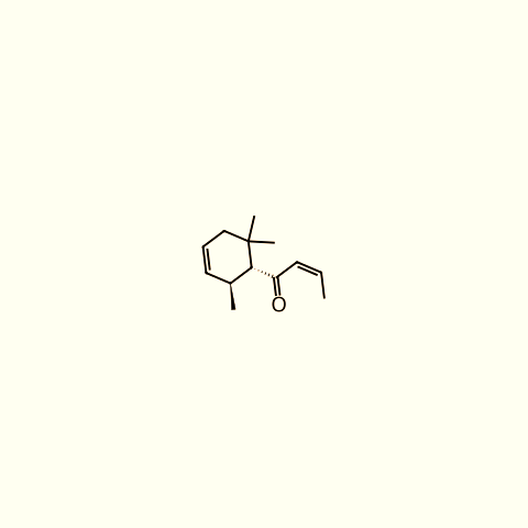 C/C=C\C(=O)[C@@H]1[C@@H](C)C=CCC1(C)C